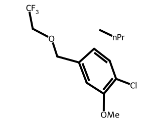 CCCC.COc1cc(COCC(F)(F)F)ccc1Cl